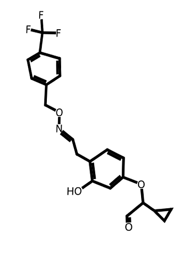 O=CC(Oc1ccc(CC=NOCc2ccc(C(F)(F)F)cc2)c(O)c1)C1CC1